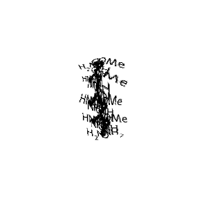 COc1ccc(NC(=O)[C@@H](CCCNC(=N)N)NC(=O)c2cc(NC(=O)[C@@H](CCCNC(=N)N)NC(=O)c3cc(NC(=O)[C@@H](CCCNC(=N)N)NC(=O)c4cc(NC(=O)[C@H](N)CC(N)=O)ccc4OC)ccc3OC)ccc2OC)cc1C(N)=O